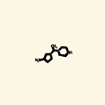 CC(N1CCNCC1)N1CCC(N)C1